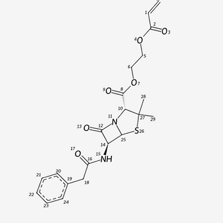 C=CC(=O)OCCOC(=O)[C@H]1N2C(=O)[C@H](NC(=O)Cc3ccccc3)C2SC1(C)C